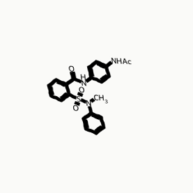 CC(=O)Nc1ccc(NC(=O)c2ccccc2S(=O)(=O)N(C)c2ccccc2)cc1